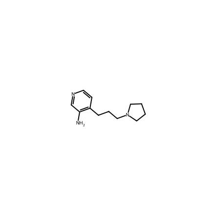 Nc1cnccc1CCCN1CCCC1